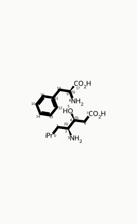 CC(C)C[C@H](N)[C@@H](O)CC(=O)O.N[C@@H](Cc1ccccc1)C(=O)O